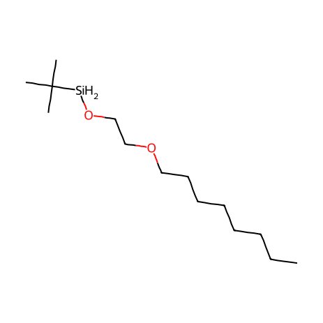 CCCCCCCCOCCO[SiH2]C(C)(C)C